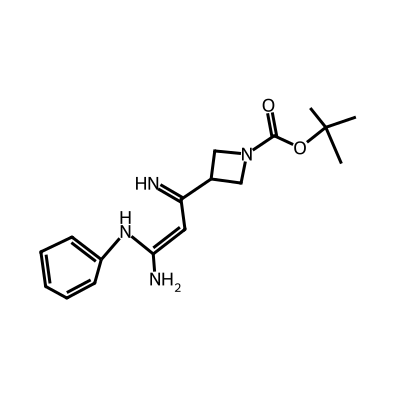 CC(C)(C)OC(=O)N1CC(C(=N)/C=C(/N)Nc2ccccc2)C1